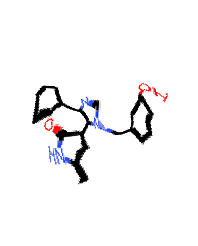 C=C1CC(c2c(-c3ccccc3)ncn2Cc2cccc(O)c2)C(=O)N1